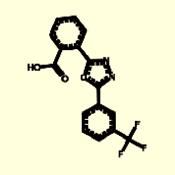 O=C(O)c1ccccc1-c1nnc(-c2cccc(C(F)(F)F)c2)o1